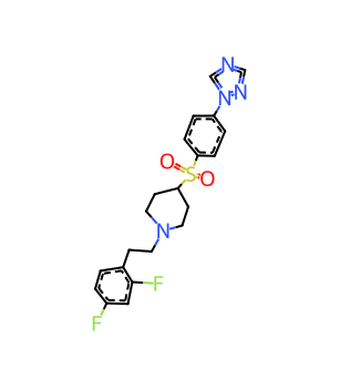 O=S(=O)(c1ccc(-n2cncn2)cc1)C1CCN(CCc2ccc(F)cc2F)CC1